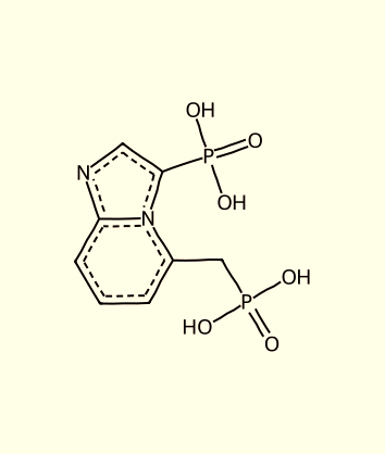 O=P(O)(O)Cc1cccc2ncc(P(=O)(O)O)n12